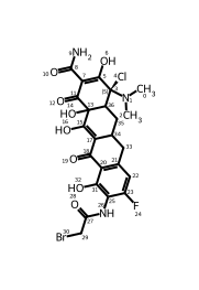 CN(C)[C@@]1(Cl)C(O)=C(C(N)=O)C(=O)C2(O)C(O)=C3C(=O)c4c(cc(F)c(NC(=O)CBr)c4O)CC3CC21